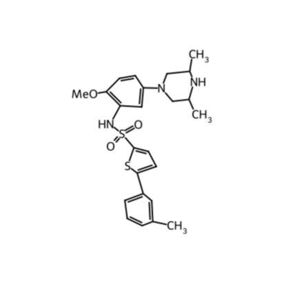 COc1ccc(N2CC(C)NC(C)C2)cc1NS(=O)(=O)c1ccc(-c2cccc(C)c2)s1